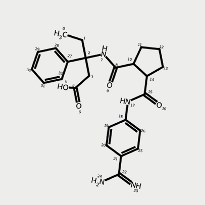 CCC(CC(=O)O)(NC(=O)C1CCCC1C(=O)Nc1ccc(C(=N)N)cc1)c1ccccc1